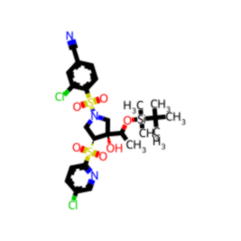 CC(O[Si](C)(C)C(C)(C)C)[C@@]1(O)CN(S(=O)(=O)c2ccc(C#N)cc2Cl)C[C@H]1S(=O)(=O)c1ccc(Cl)cn1